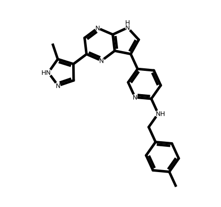 Cc1ccc(CNc2ccc(-c3c[nH]c4ncc(-c5cn[nH]c5C)nc34)cn2)cc1